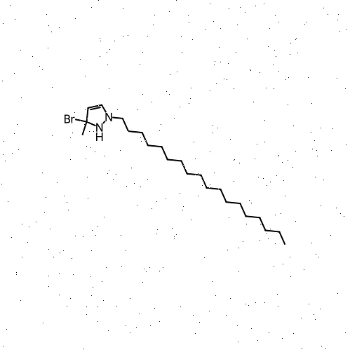 CCCCCCCCCCCCCCCCCCN1C=CC(C)(Br)N1